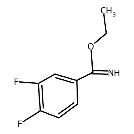 CCOC(=N)c1ccc(F)c(F)c1